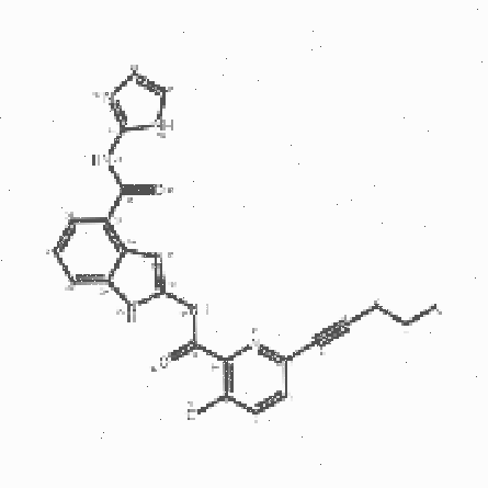 CCCC#Cc1ccc(Cl)c(C(=O)Nc2nc3c(C(=O)Nc4ncc[nH]4)cccc3[nH]2)n1